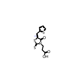 O=C(O)CCN1C(=O)/C(=C\c2cccs2)SC1=S